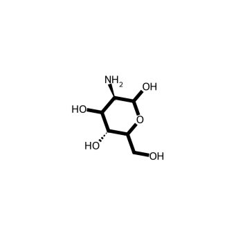 N[C@H]1C(O)OC(CO)[C@H](O)C1O